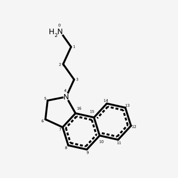 NC[CH]CN1CCc2ccc3ccccc3c21